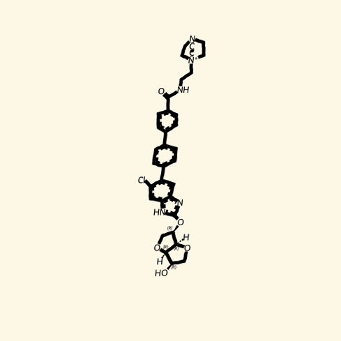 O=C(NCC[N+]12CCN(CC1)CC2)c1ccc(-c2ccc(-c3cc4nc(O[C@@H]5CO[C@H]6[C@@H]5OC[C@H]6O)[nH]c4cc3Cl)cc2)cc1